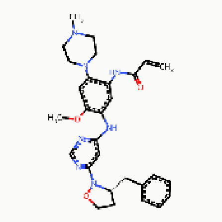 C=CC(=O)Nc1cc(Nc2cc(N3OCC[C@H]3Cc3ccccc3)ncn2)c(OC)cc1N1CCN(C)CC1